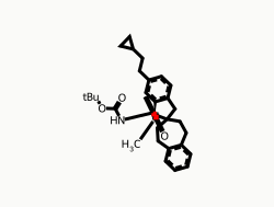 CN1C(=O)[C@]2(N=C1NC(=O)OC(C)(C)C)c1cc(CCC3CC3)ccc1CC21CCc2ccccc2CC1